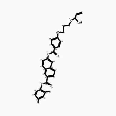 C=CC(O)OCCCOc1ccc(C(=O)Oc2ccc3cc(C(=O)Oc4ccc(C)cc4C)ccc3c2)cc1